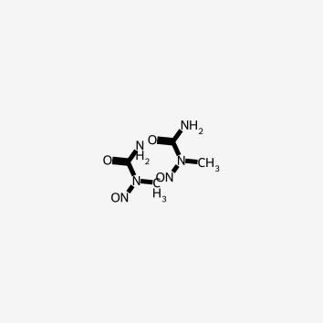 CN(N=O)C(N)=O.CN(N=O)C(N)=O